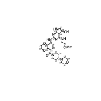 COCCNc1nc(Nc2ccc(C(=O)N3CCC(N4CCOCC4)CC3)c3c2OCCO3)nc2[nH]cc(C#N)c12